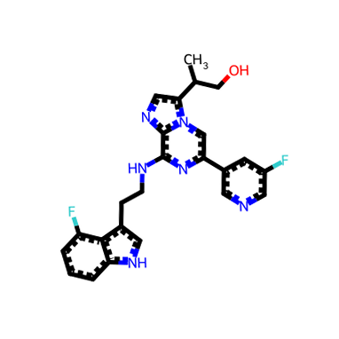 CC(CO)c1cnc2c(NCCc3c[nH]c4cccc(F)c34)nc(-c3cncc(F)c3)cn12